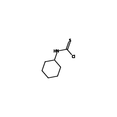 S=C(Cl)NC1CCCCC1